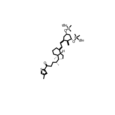 C=C1/C(=C\C=C2/CCC[C@]3(C)[C@@H]([C@H](C)CCC(=O)c4cc(C)cs4)CC[C@@H]23)C[C@@H](O[Si](C)(C)C(C)(C)C)C[C@@H]1O[Si](C)(C)C(C)(C)C